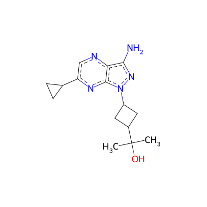 CC(C)(O)C1CC(n2nc(N)c3ncc(C4CC4)nc32)C1